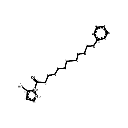 O=C(CCCCCCCCCCCc1ccccc1)n1nccc1O